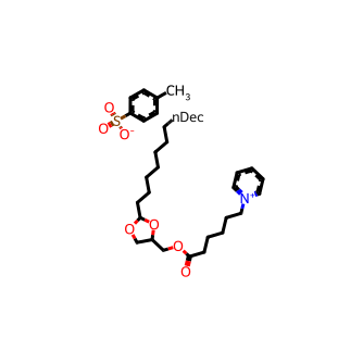 CCCCCCCCCCCCCCCCCC1OCC(COC(=O)CCCCC[n+]2ccccc2)O1.Cc1ccc(S(=O)(=O)[O-])cc1